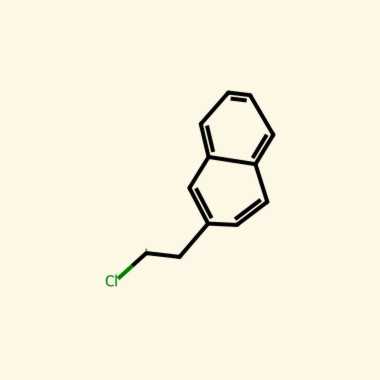 Cl[CH]Cc1ccc2ccccc2c1